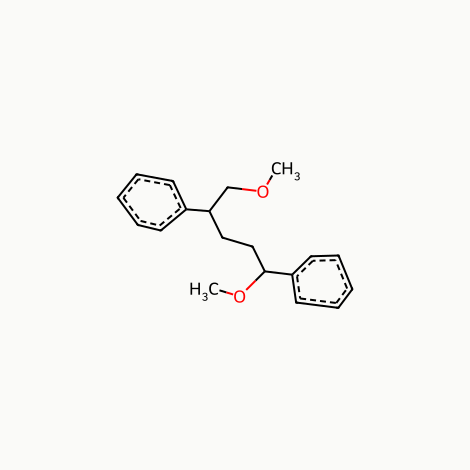 COCC(CCC(OC)c1ccccc1)c1ccccc1